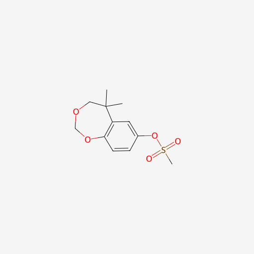 CC1(C)COCOc2ccc(OS(C)(=O)=O)cc21